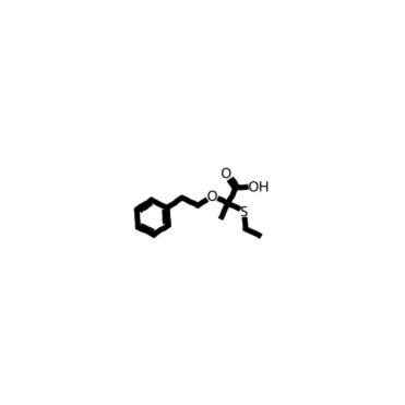 CCSC(C)(OCCc1ccccc1)C(=O)O